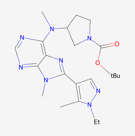 CCn1ncc(-c2nc3c(N(C)C4CCN(C(=O)OC(C)(C)C)C4)ncnc3n2C)c1C